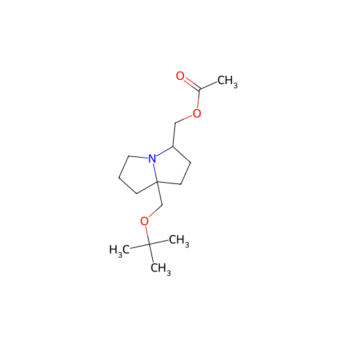 CC(=O)OCC1CCC2(COC(C)(C)C)CCCN12